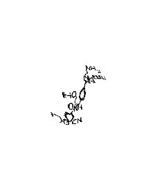 CC(CI)Oc1ccc(C(=O)N[C@H](CCO)Cc2ccc(-c3cn(CCCN)c(C(C)(C)C)n3)cc2)cc1C#N